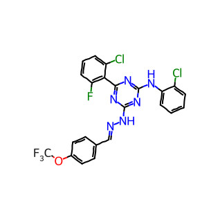 Fc1cccc(Cl)c1-c1nc(NN=Cc2ccc(OC(F)(F)F)cc2)nc(Nc2ccccc2Cl)n1